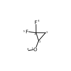 CO[C]1CC1(F)F